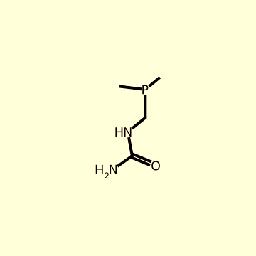 CP(C)CNC(N)=O